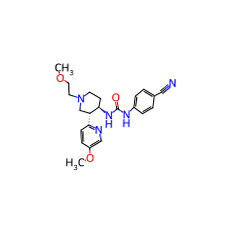 COCCN1CC[C@@H](NC(=O)Nc2ccc(C#N)cc2)[C@H](c2ccc(OC)cn2)C1